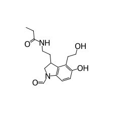 CCC(=O)NCCC1CN(C=O)c2ccc(O)c(CCO)c21